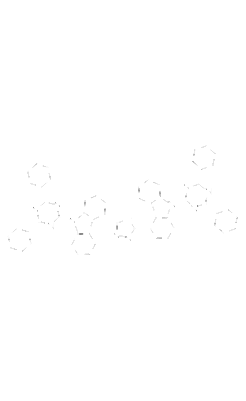 c1ccc(-c2nc(-c3ccccc3)nc(-n3c4ccccc4c4c(-c5nnc(-c6cccc7c6c6ccccc6n7-c6nc(-c7ccccc7)nc(-c7ccccc7)n6)o5)cccc43)n2)cc1